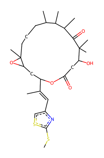 CSc1nc(/C=C(\C)C2CC3OC3(C)CCCC(C)C(C)C(C)C(=O)C(C)(C)C(O)CC(=O)O2)cs1